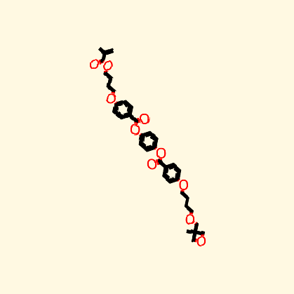 C=C(C)C(=O)OCCCCOc1ccc(C(=O)Oc2ccc(OC(=O)c3ccc(OCCCCOCC4(C)COC4)cc3)cc2)cc1